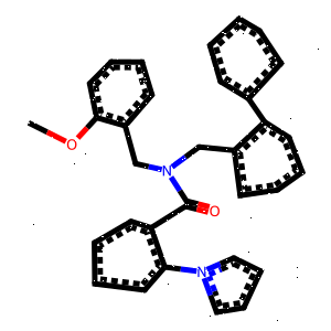 COc1ccccc1CN(Cc1ccccc1-c1ccccc1)C(=O)c1ccccc1-n1cccc1